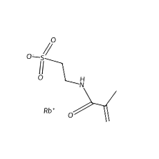 C=C(C)C(=O)NCCS(=O)(=O)[O-].[Rb+]